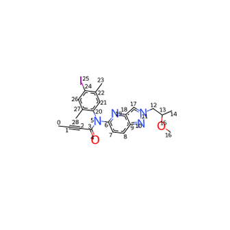 CC#CC(=O)N(c1ccc2nn(CC(C)OC)cc2n1)c1cc(C)c(I)cc1C